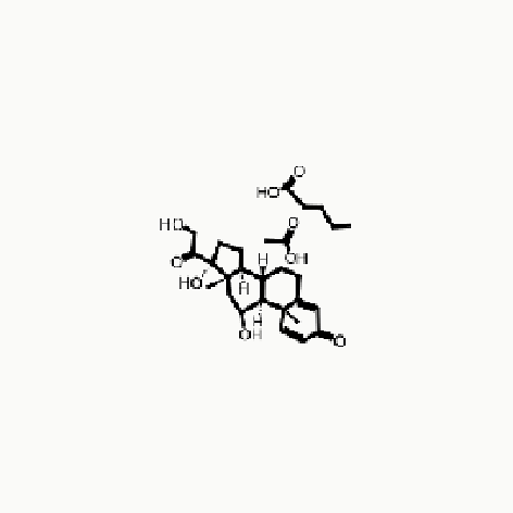 CC(=O)O.CCCCC(=O)O.C[C@]12C=CC(=O)C=C1CC[C@@H]1[C@@H]2[C@@H](O)C[C@@]2(C)[C@H]1CC[C@]2(O)C(=O)CO